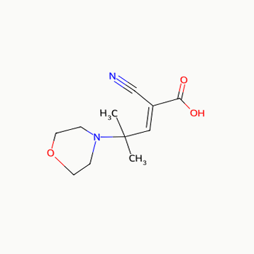 CC(C)(/C=C(\C#N)C(=O)O)N1CCOCC1